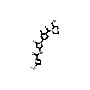 Bc1ccc(C(=O)NC2CC(=O)N(c3ccc(C(=O)N4CCCCC4CN)c(C)c3)C2)s1